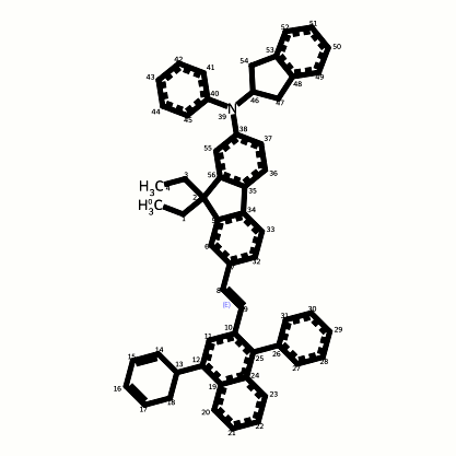 CCC1(CC)c2cc(/C=C/c3cc(C4C=CC=CC4)c4ccccc4c3-c3ccccc3)ccc2-c2ccc(N(c3ccccc3)C3Cc4ccccc4C3)cc21